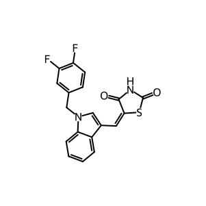 O=C1NC(=O)/C(=C\c2cn(Cc3ccc(F)c(F)c3)c3ccccc23)S1